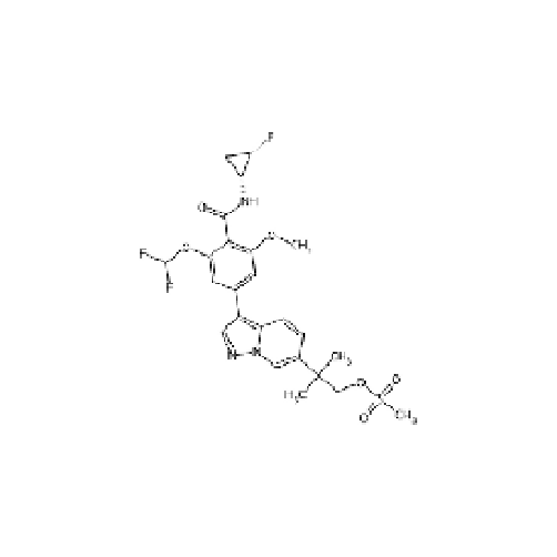 COc1cc(-c2cnn3cc(C(C)(C)COS(C)(=O)=O)ccc23)cc(OC(F)F)c1C(=O)N[C@@H]1C[C@@H]1F